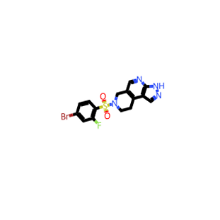 O=S(=O)(c1ccc(Br)cc1F)N1CCc2c(cnc3[nH]ncc23)C1